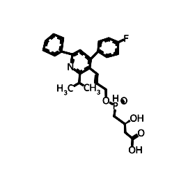 CC(C)c1nc(-c2ccccc2)cc(-c2ccc(F)cc2)c1/C=C/CO[PH](=O)C[C@@H](O)CC(=O)O